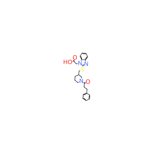 O=C(O)Cn1c(SCC2CCCN(C(=O)CCc3ccccc3)C2)nc2ccccc21